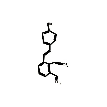 C=Cc1cccc(C=Cc2ccc(C(C)(C)C)cc2)c1C=C